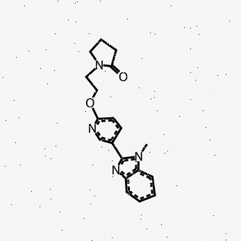 Cn1c(-c2ccc(OCCN3CCCC3=O)nc2)nc2ccccc21